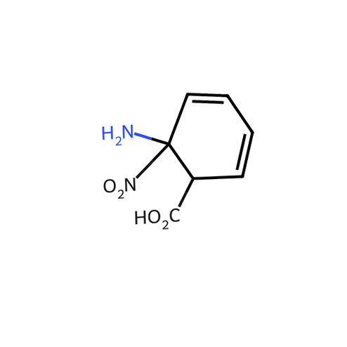 NC1([N+](=O)[O-])C=CC=CC1C(=O)O